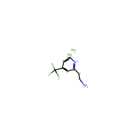 Cl.Cl.NCCc1cc(C(F)(F)F)ccn1